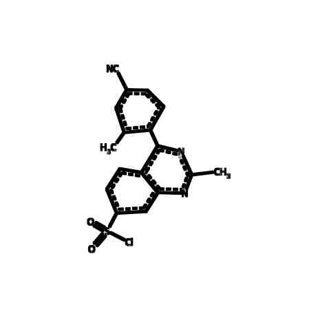 Cc1nc(-c2ccc(C#N)cc2C)c2ccc(S(=O)(=O)Cl)cc2n1